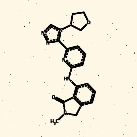 CN1Cc2cccc(Nc3cccc(-c4nncn4C4CCOC4)n3)c2C1=O